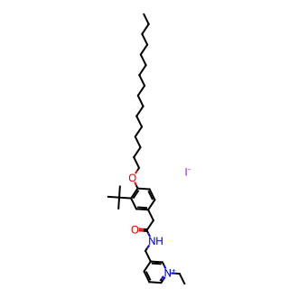 CCCCCCCCCCCCCCCCOc1ccc(CC(=O)NCc2ccc[n+](CC)c2)cc1C(C)(C)C.[I-]